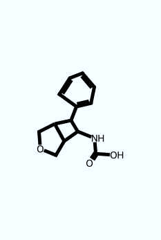 O=C(O)NC1C2COCC2C1c1ccccc1